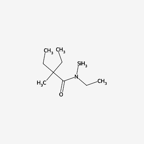 CCN([SiH3])C(=O)C(C)(CC)CC